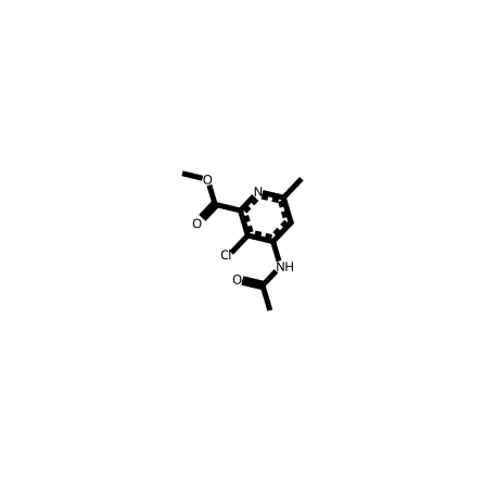 COC(=O)c1nc(C)cc(NC(C)=O)c1Cl